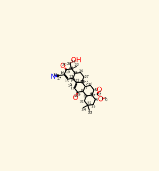 COC(=O)[C@@]12CCC3C(C(=O)C=C4[C@@]5(C)C=C(C#N)C(=O)[C@](C)(CO)C5CC[C@]43C)C1CC(C)(C)CC2